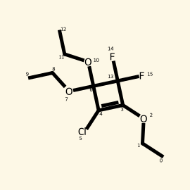 CCOC1=C(Cl)C(OCC)(OCC)C1(F)F